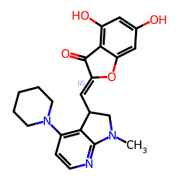 CN1CC(/C=C2\Oc3cc(O)cc(O)c3C2=O)c2c(N3CCCCC3)ccnc21